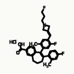 Cc1cc(F)ccc1C1=C(c2cc(F)c(C=C3CN(CCCF)C3)cc2C)c2ccc(C(=O)O)cc2CCC1.Cl